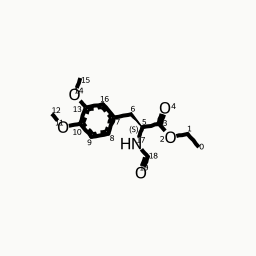 CCOC(=O)[C@H](Cc1ccc(OC)c(OC)c1)NC=O